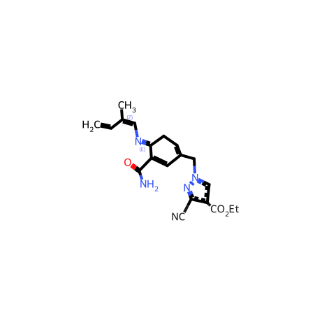 C=C/C(C)=C\N=C1/CC=C(Cn2cc(C(=O)OCC)c(C#N)n2)C=C1C(N)=O